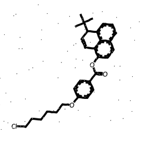 CC(C)(C)C1C=Cc2c(OC(=O)c3ccc(OCCCCCCCl)cc3)ccc3cccc1c23